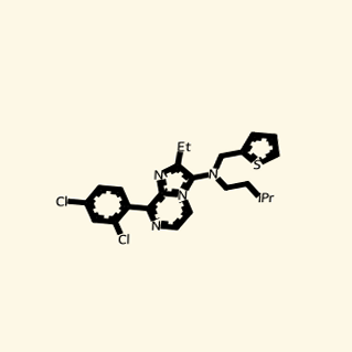 CCc1nc2c(-c3ccc(Cl)cc3Cl)nccn2c1N(CCC(C)C)Cc1cccs1